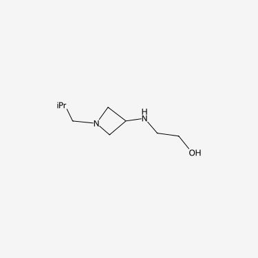 CC(C)CN1CC(NCCO)C1